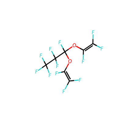 FC(F)=C(F)OC(F)(OC(F)=C(F)F)C(F)(F)C(F)(F)F